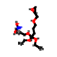 CCO[Si](CCCOCC1CO1)(OCC)OCC.O=[NH+][O-]